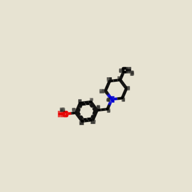 CC1CCN(Cc2ccc(O)cc2)CC1